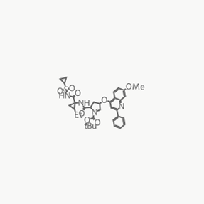 CCC1CC1(NC(=O)C1CC(Oc2cc(-c3ccccc3)nc3cc(OC)ccc23)CN1C(=O)OC(C)(C)C)C(=O)NS(=O)(=O)C1CC1